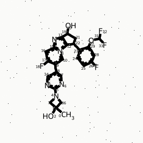 CC1(O)CN(c2ncc(-c3cn4c5c(nc4cc3F)C(O)CC5c3ccc(F)cc3OC(F)F)cn2)C1